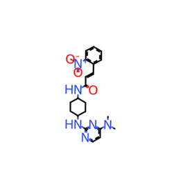 CN(C)c1ccnc(NC2CCC(NC(=O)/C=C/c3ccccc3[N+](=O)[O-])CC2)n1